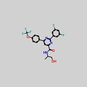 CC(CO)NC(=O)c1cc(-c2ccc(OC(F)(F)F)cc2)nc(-c2cc(F)cc(F)c2)n1